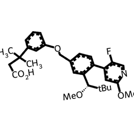 COc1cc(-c2ccc(COc3cccc(C(C)(C)CC(=O)O)c3)cc2[C@@H](OC)C(C)(C)C)c(F)cn1